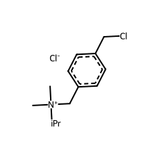 CC(C)[N+](C)(C)Cc1ccc(CCl)cc1.[Cl-]